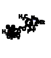 CCN(C)/C=N\c1cc(C(F)F)c(OCCC[Si](S(C)(=O)=O)(S(C)(=O)=O)S(C)(=O)=O)cc1C